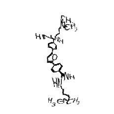 CN(C)CCCNC(=N)c1ccc(-c2ccc(-c3ccc(C(=N)NCCCN(C)C)cc3)o2)cc1